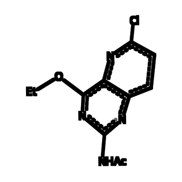 CCOc1nc(NC(C)=O)nc2ccc(Cl)nc12